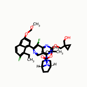 CCc1c(F)ccc2cc(OCOC)cc(-c3ncc4c(N5C[C@H]6CC[C@@H](C5)N6C(=O)OC(C)(C)C)nc(OCC5(CO)CC5)nc4c3F)c12